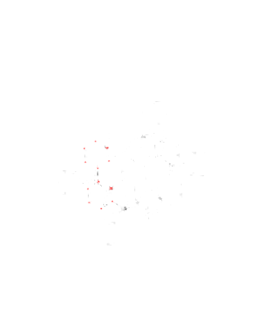 c1ccc(-c2cccc(-c3ccccc3-c3c(-c4cccc5c6ccccc6n(-c6ccccc6)c45)c(-c4cccc5c6ccccc6n(-c6ccccc6)c45)nc(-c4cccc5c6ccccc6n(-c6ccccc6)c45)c3-c3cccc4c5ccccc5n(-c5ccccc5)c34)n2)cc1